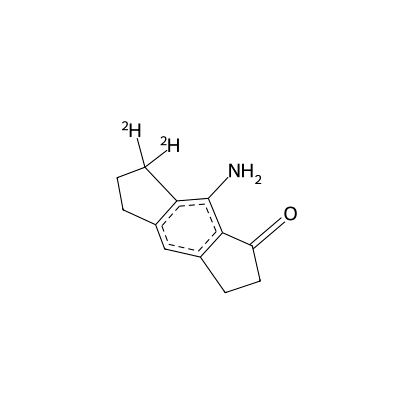 [2H]C1([2H])CCc2cc3c(c(N)c21)C(=O)CC3